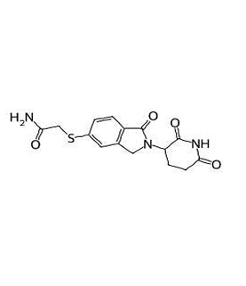 NC(=O)CSc1ccc2c(c1)CN(C1CCC(=O)NC1=O)C2=O